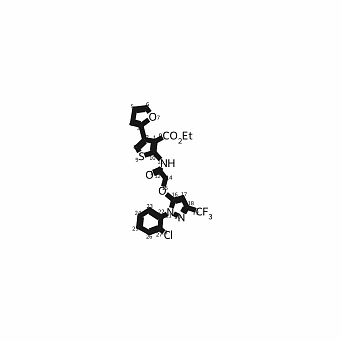 CCOC(=O)c1c(-c2ccco2)csc1NC(=O)COc1cc(C(F)(F)F)nn1-c1ccccc1Cl